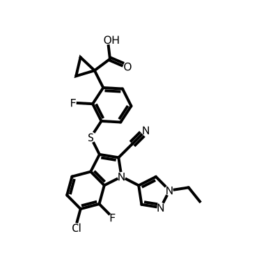 CCn1cc(-n2c(C#N)c(Sc3cccc(C4(C(=O)O)CC4)c3F)c3ccc(Cl)c(F)c32)cn1